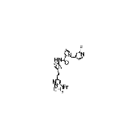 CC(C)c1cc(C=Cc2csc(NC(=O)c3cccn3Cc3ccnc(F)c3)n2)nn1C